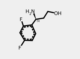 N[C@@H](CCO)c1ccc(F)cc1F